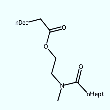 CCCCCCCCCCCC(=O)OCCN(C)C(=O)CCCCCCC